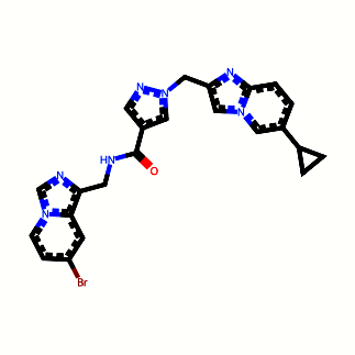 O=C(NCc1ncn2ccc(Br)cc12)c1cnn(Cc2cn3cc(C4CC4)ccc3n2)c1